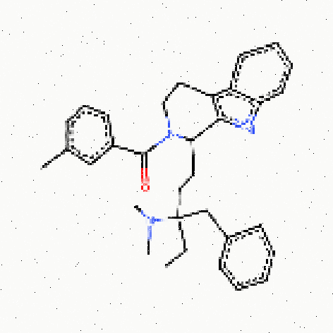 CCC(CCC1c2[nH]c3ccccc3c2CCN1C(=O)c1cccc(C)c1)(Cc1ccccc1)N(C)C